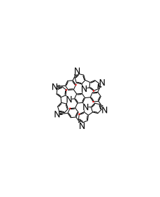 N#Cc1cc(C#N)cc(-c2c(-n3c4ccccc4c4ccccc43)c(-c3cc(C#N)cc(C#N)c3)c(-n3c4ccccc4c4ccccc43)c(-c3cc(C#N)cc(C#N)c3)c2-n2c3ccccc3c3ccccc32)c1